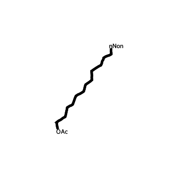 CCCCCCCCCCCCCCCCCCCC[CH]OC(C)=O